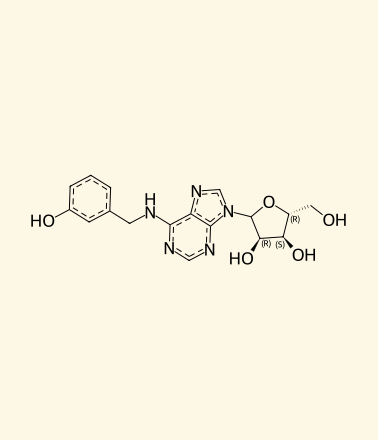 OC[C@H]1OC(n2cnc3c(NCc4cccc(O)c4)ncnc32)[C@H](O)[C@@H]1O